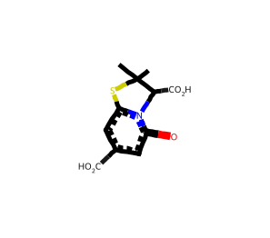 CC1(C)Sc2cc(C(=O)O)cc(=O)n2C1C(=O)O